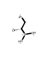 CC(C)C[C@@H](Cl)B(O)O